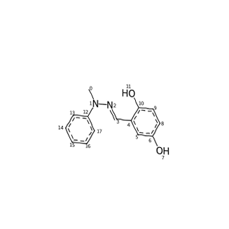 CN(N=Cc1cc(O)ccc1O)c1ccccc1